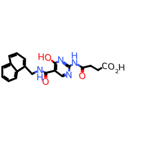 O=C(O)CCC(=O)Nc1ncc(C(=O)NCc2cccc3ccccc23)c(O)n1